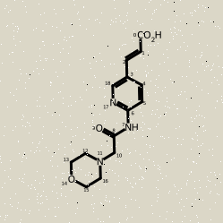 O=C(O)C=Cc1ccc(NC(=O)CN2CCOCC2)nc1